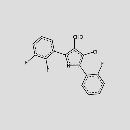 O=Cc1c(-c2cccc(F)c2F)nn(-c2ccccc2F)c1Cl